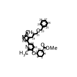 COC(=O)[C@H]1CCC[C@H](Oc2ccc(-c3nnn(C)c3CCCOCc3ccccc3)nc2C)C1